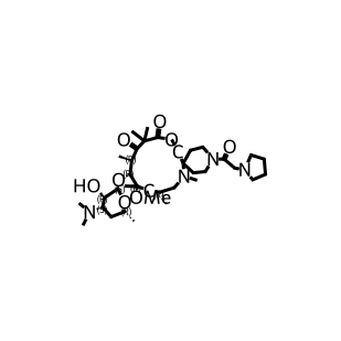 CO[C@]1(C)C[C@@H](C)CN(C)C2(CCN(C(=O)CN3CCCC3)CC2)COC(=O)C(C)(C)C(=O)[C@H](C)[C@H]1O[C@@H]1O[C@H](C)C[C@H](N(C)C)[C@H]1O